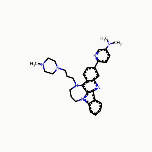 CN1CCN(CCCN2CCCn3c4ccccc4c4nc5cc(-c6ccc(N(C)C)cn6)ccc5c2c43)CC1